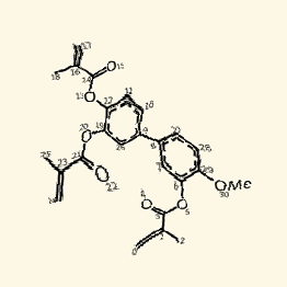 C=C(C)C(=O)Oc1cc(-c2ccc(OC(=O)C(=C)C)c(OC(=O)C(=C)C)c2)ccc1OC